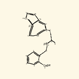 COc1ccccc1CNC(C)Cc1ccc2occc2c1